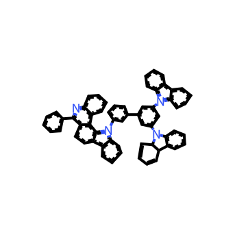 C1=CC2c3ccccc3N(c3cc(-c4cccc(-n5c6ccccc6c6ccc7c(-c8ccccc8)nc8ccccc8c7c65)c4)cc(-n4c5ccccc5c5ccccc54)c3)C2C=C1